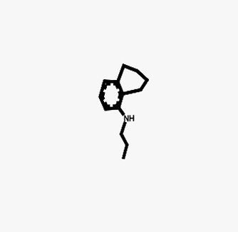 CCCNc1cccc2c1CCCC2